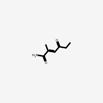 CCC(=O)/C=C(\C)C(N)=O